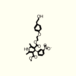 COC(=O)C1=C(C)NC(C)=C(C(=O)OCCOc2ccc(CCO)cc2)[C@H]1c1cccc([N+](=O)[O-])c1